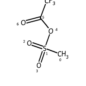 CS(=O)(=O)OC(=O)C(F)(F)F